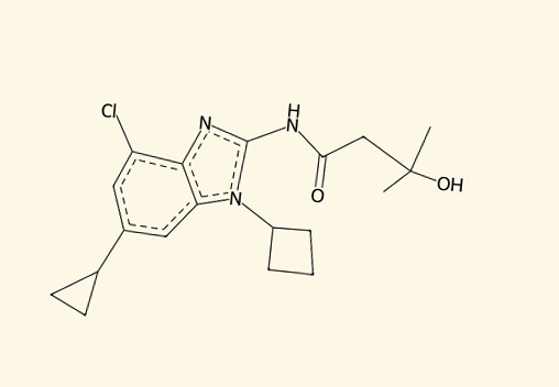 CC(C)(O)CC(=O)Nc1nc2c(Cl)cc(C3CC3)cc2n1C1CCC1